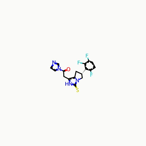 O=C(Cc1[nH]c(=S)n2c1C[C@H](c1c(F)ccc(F)c1F)C2)n1ccnc1